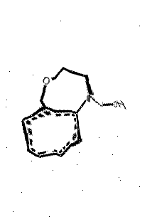 ON1CCOc2ccccc21